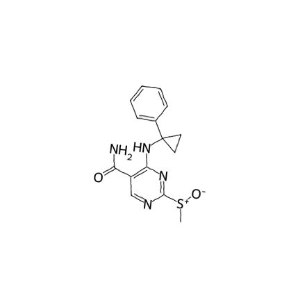 C[S+]([O-])c1ncc(C(N)=O)c(NC2(c3ccccc3)CC2)n1